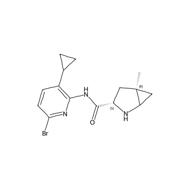 C[C@]12CC1N[C@H](C(=O)Nc1nc(Br)ccc1C1CC1)C2